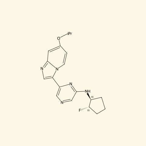 CC(C)Oc1ccn2c(-c3cncc(N[C@H]4CCC[C@@H]4F)n3)cnc2c1